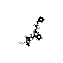 CC1(C)S[C@@H]2C(NC(=O)C(NC(=O)CNC(=O)OCc3ccccc3)c3ccccc3)C(=O)N2[C@H]1C(=O)O